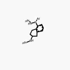 CCCNC1CCc2c(cccc2N(NCCC)C(C)=O)C1